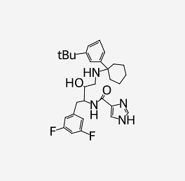 CC(C)(C)c1cccc(C2(NCC(O)C(Cc3cc(F)cc(F)c3)NC(=O)c3c[nH]cn3)CCCCC2)c1